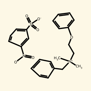 C[N+](C)(CCOc1ccccc1)Cc1ccccc1.O=[N+]([O-])c1cccc(S(=O)(=O)[O-])c1